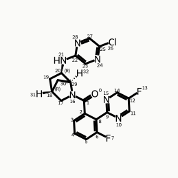 O=C(c1cccc(F)c1-c1ncc(F)cn1)N1C[C@@H]2C[C@@H](Nc3cnc(Cl)cn3)[C@@H]1C2